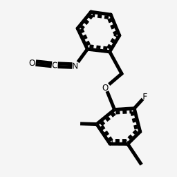 Cc1cc(C)c(OCc2ccccc2N=C=O)c(F)c1